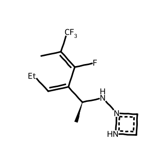 CC/C=C(\C(F)=C(/C)C(F)(F)F)[C@H](C)Nn1cc[nH]1